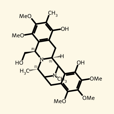 COc1c(C)c(O)c2c(c1OC)[C@H](CO)N1[C@@H](C)C3Cc4c(OC)c(OC)c(OC)c(O)c4C([C@@H]1C2)N3C